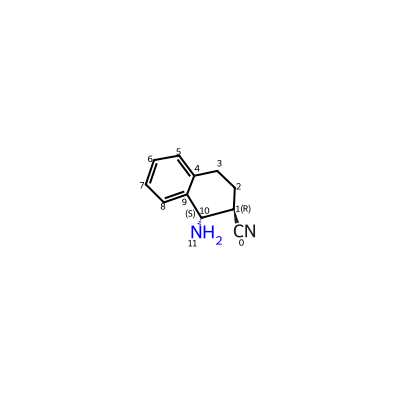 N#C[C@@H]1CCc2ccccc2[C@H]1N